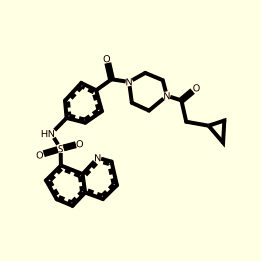 O=C(CC1CC1)N1CCN(C(=O)c2ccc(NS(=O)(=O)c3cccc4cccnc34)cc2)CC1